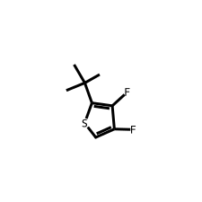 CC(C)(C)c1scc(F)c1F